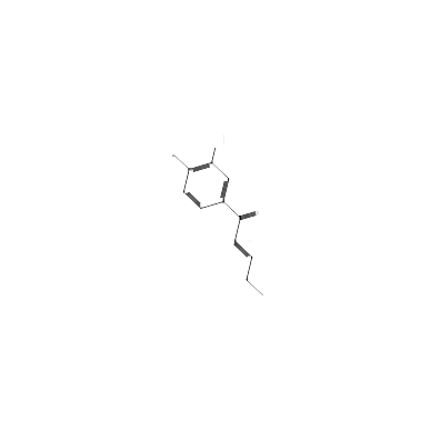 CC/C=C/C(=O)c1ccc(Cl)c(Cl)c1